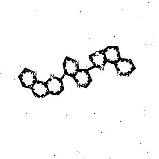 c1cnc2c(c1)ccc1ccc(-c3ccnc4c(-c5ccc6ccc7cccnc7c6n5)ccnc34)nc12